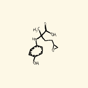 CC(CCC1CO1)(Nc1ccc(O)cc1)C(=O)O